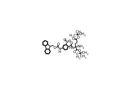 CC(C)(C)OC(=O)CC[C@](N)(NC(=O)c1ccc(NC(=O)OCC2c3ccccc3-c3ccccc32)cc1[N+](=O)[O-])C(=O)OC(C)(C)C